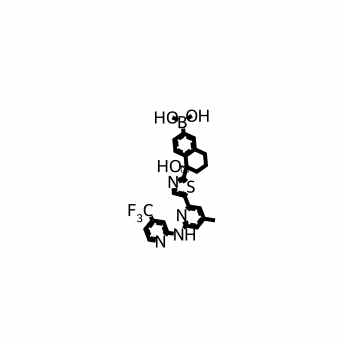 Cc1cc(Nc2cc(C(F)(F)F)ccn2)nc(-c2cnc([C@]3(O)CCCc4cc(B(O)O)ccc43)s2)c1